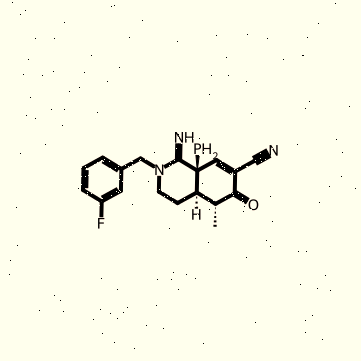 C[C@H]1C(=O)C(C#N)=C[C@@]2(P)C(=N)N(Cc3cccc(F)c3)CC[C@H]12